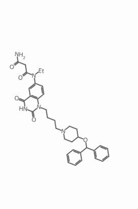 CCN(C(=O)CC(N)=O)c1ccc2c(c1)c(=O)[nH]c(=O)n2CCCCN1CCC(OC(c2ccccc2)c2ccccc2)CC1